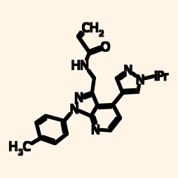 C=CC(=O)NCc1nn(-c2ccc(C)cc2)c2nccc(-c3cnn(C(C)C)c3)c12